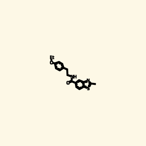 CCOc1ccc(CCNC(=O)c2ccc3sc(C)nc3c2)cc1